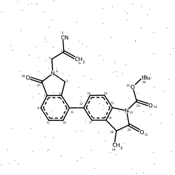 C=C(C#N)CN1Cc2c(cccc2-c2ccc3c(c2)C(C)C(=O)N3C(=O)OC(C)(C)C)C1=O